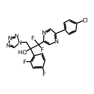 OC(Cn1cnnn1)(c1ccc(F)cc1F)C(F)(F)c1cnc(-c2ccc(Cl)cc2)cn1